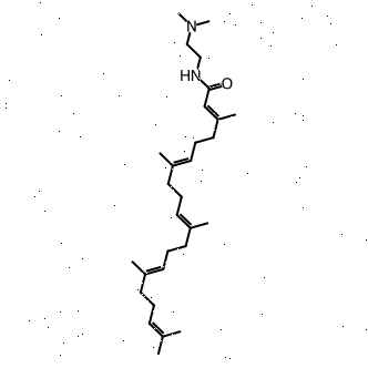 CC(C)=CCCC(C)=CCCC(C)=CCCC(C)=CCCC(C)=CC(=O)NCCN(C)C